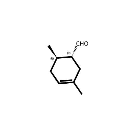 CC1=CC[C@@H](C)[C@H](C=O)C1